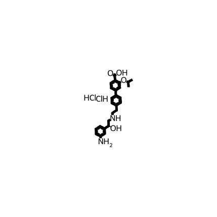 CC(C)Oc1cc(-c2ccc(CCNC[C@H](O)c3cccc(N)c3)cc2)ccc1C(=O)O.Cl.Cl